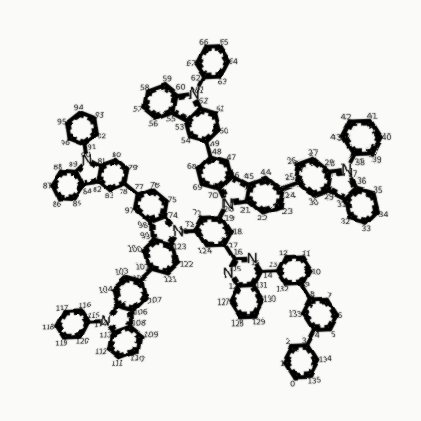 c1ccc(-c2cccc(-c3cccc(-c4nc(-c5cc(-n6c7ccc(-c8ccc9c(c8)c8ccccc8n9-c8ccccc8)cc7c7cc(-c8ccc9c(c8)c8ccccc8n9-c8ccccc8)ccc76)cc(-n6c7ccc(-c8ccc9c(c8)c8ccccc8n9-c8ccccc8)cc7c7cc(-c8ccc9c(c8)c8ccccc8n9-c8ccccc8)ccc76)c5)nc5ccccc45)c3)c2)cc1